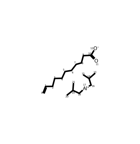 C=CCCCCCCCCC(=O)[O-].CC(C)[CH2][Al+][CH2]C(C)C